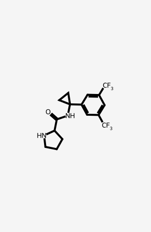 O=C(NC1(c2cc(C(F)(F)F)cc(C(F)(F)F)c2)CC1)C1CCCN1